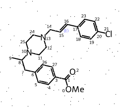 COC(=O)c1ccc(CC(C)N2CCN(C/C=C/c3ccc(Cl)cc3)CC2)cc1